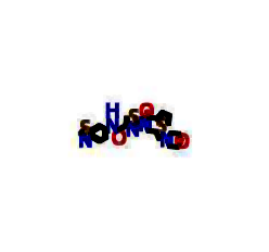 O=C(Nc1ccc2ncsc2c1)c1csc(N(CCCN2CCOCC2)C(=O)c2cccs2)n1